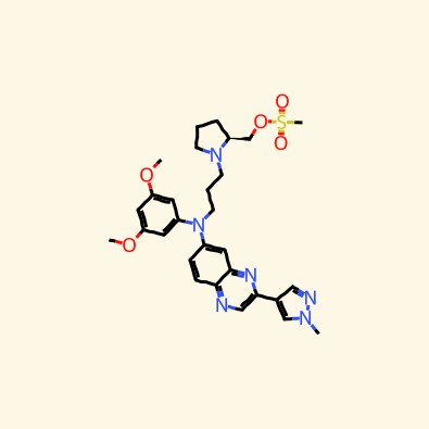 COc1cc(OC)cc(N(CCCN2CCC[C@H]2COS(C)(=O)=O)c2ccc3ncc(-c4cnn(C)c4)nc3c2)c1